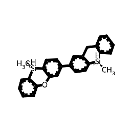 C[Si@@H]1c2ccccc2Cc2cc(-c3ccc4c(c3)Oc3ccccc3[Si@@H]4C)ccc21